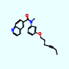 CCC#CCCCOc1cccc(N(C)C(=O)c2ccc3ncccc3c2)c1